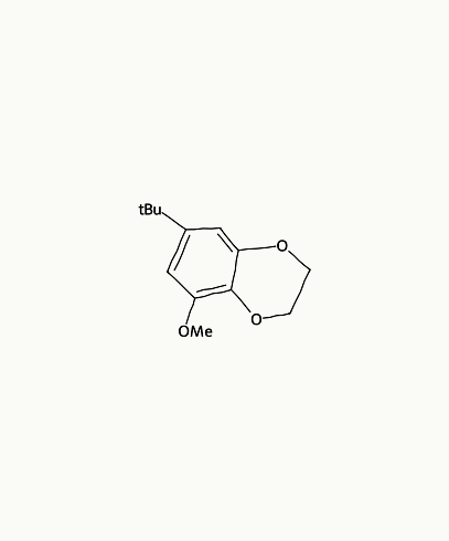 COc1cc(C(C)(C)C)cc2c1OCCO2